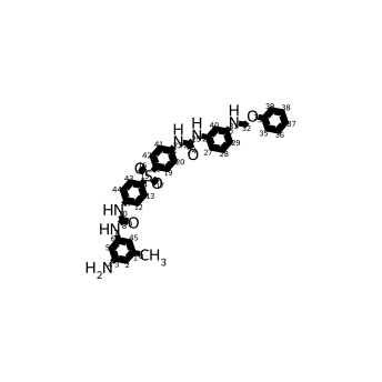 Cc1cc(N)cc(NC(=O)Nc2ccc(S(=O)(=O)c3ccc(NC(=O)Nc4cccc(NCOc5ccccc5)c4)cc3)cc2)c1